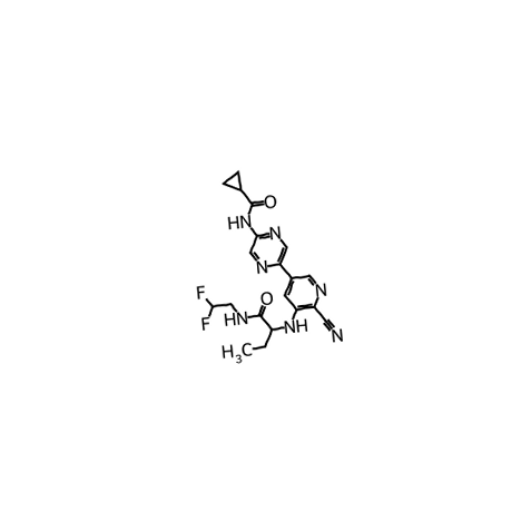 CCC(Nc1cc(-c2cnc(NC(=O)C3CC3)cn2)cnc1C#N)C(=O)NCC(F)F